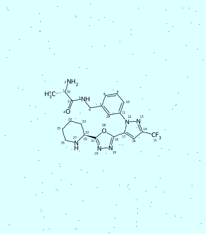 C[C@H](N)C(=O)NCc1cccc(-n2nc(C(F)(F)F)cc2-c2nnc([C@@H]3CCCCN3)o2)c1